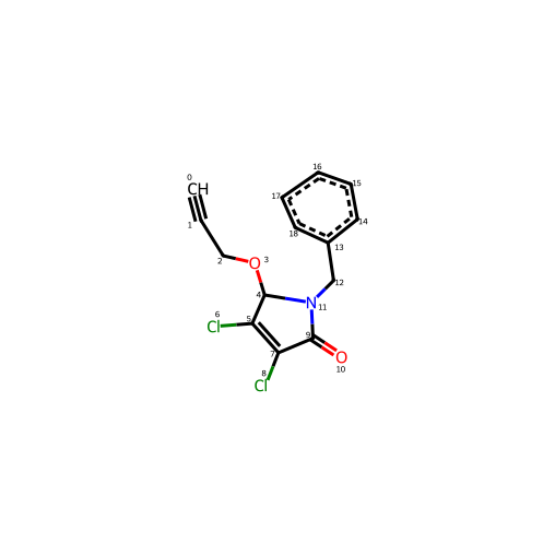 C#CCOC1C(Cl)=C(Cl)C(=O)N1Cc1ccccc1